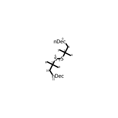 CCCCCCCCCCCC(C)(C)SSC(C)(C)CCCCCCCCCCC